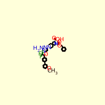 COc1cccc(-c2ccc([C@H](Oc3cc(N4CCC5(CC4)C[C@@H](C(=O)O)N(C(=O)OCc4ccccc4)C5)nc(N)n3)C(F)(F)F)cc2)c1